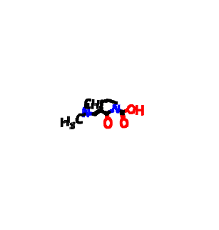 CN(C)C=C1CCCN(C(=O)O)C1=O